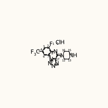 Cl.Fc1cc(C(F)(F)F)cc2c1nc(N1CCNCC1)c1nnnn12